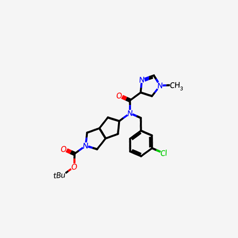 CN1C=NC(C(=O)N(Cc2cccc(Cl)c2)C2CC3CN(C(=O)OC(C)(C)C)CC3C2)C1